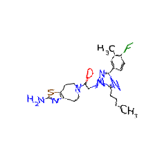 CCCCc1nc(-c2ccc(F)c(C)c2)nn1CC(=O)N1CCc2nc(N)sc2CC1